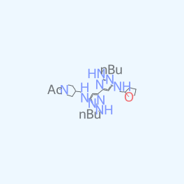 CCCCNc1nc(NCC2CCN(C(C)=O)CC2)cc(-c2cc(NCC3CCCO3)nc(NCCCC)n2)n1